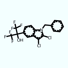 OC(c1ccc2c(c1)c(Cl)c(Cl)n2Cc1ccccc1)(C(F)(F)F)C(F)(F)F